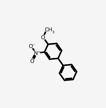 CO[C]1C=CC(c2ccccc2)C=C1[N+](=O)[O-]